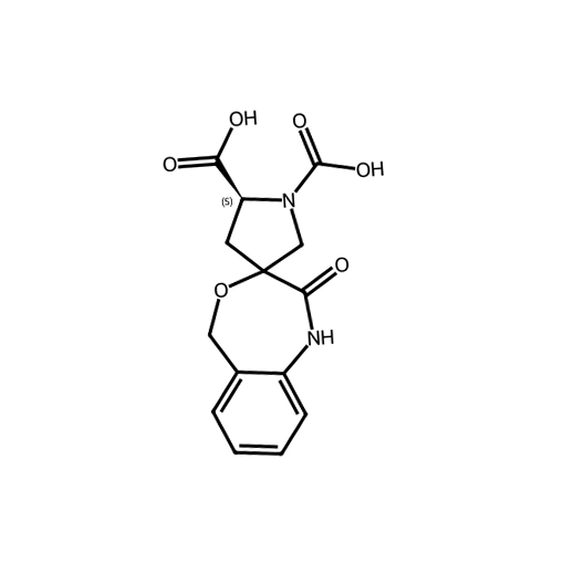 O=C(O)[C@@H]1CC2(CN1C(=O)O)OCc1ccccc1NC2=O